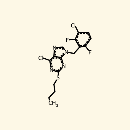 CCCCSc1nc(Cl)c2ncn(Cc3c(F)ccc(Cl)c3F)c2n1